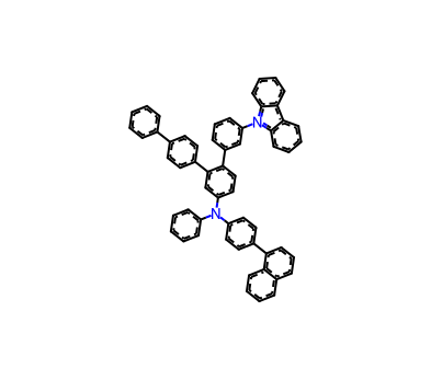 c1ccc(-c2ccc(-c3cc(N(c4ccccc4)c4ccc(-c5cccc6ccccc56)cc4)ccc3-c3cccc(-n4c5ccccc5c5ccccc54)c3)cc2)cc1